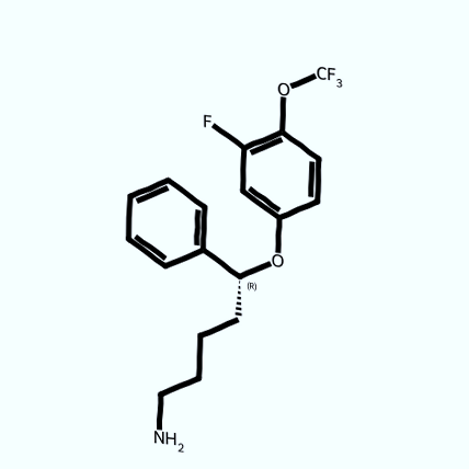 NCCCC[C@@H](Oc1ccc(OC(F)(F)F)c(F)c1)c1ccccc1